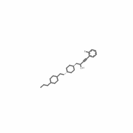 CCCC1CCC(CC[C@H]2CC[C@H](CC(O)C#Cc3ccccc3F)CC2)CC1